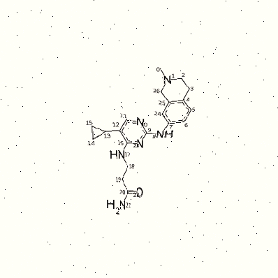 CN1CCc2ccc(Nc3ncc(C4CC4)c(NCCC(N)=O)n3)cc2C1